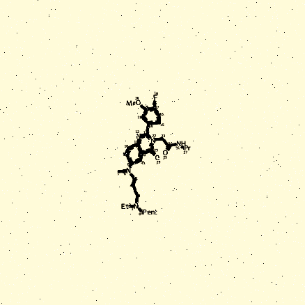 CCCC(C)N(CC)CCCN(C)c1ccc2nc(-c3ccc(F)c(OC)c3)n(CC(=O)NC(C)C)c(=O)c2c1